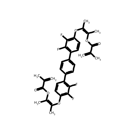 C=C(C)C(=O)OC(C)=C(C)Oc1ccc(-c2ccc(-c3ccc(OC(C)=C(C)OC(=O)C(=C)C)c(F)c3F)cc2)c(F)c1F